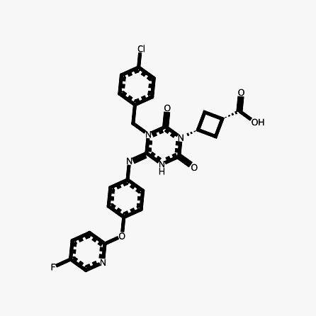 O=c1[nH]/c(=N\c2ccc(Oc3ccc(F)cn3)cc2)n(Cc2ccc(Cl)cc2)c(=O)n1[C@H]1C[C@@H](C(=O)O)C1